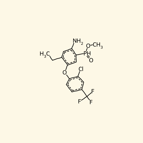 CCc1cc(N)c([PH](=O)OC)cc1Oc1ccc(C(F)(F)F)cc1Cl